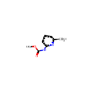 CC(C)(C)OC(=O)Nc1cccc(C(=O)O)n1